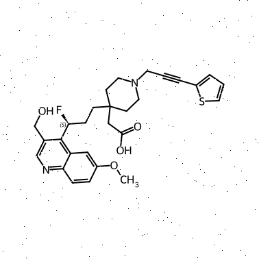 COc1ccc2ncc(CO)c([C@@H](F)CCC3(CC(=O)O)CCN(CC#Cc4cccs4)CC3)c2c1